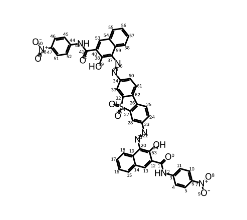 O=C(Nc1ccc([N+](=O)[O-])cc1)c1cc2ccccc2c(N=Nc2ccc3c(c2)S(=O)(=O)c2cc(N=Nc4c(O)c(C(=O)Nc5ccc([N+](=O)[O-])cc5)cc5ccccc45)ccc2-3)c1O